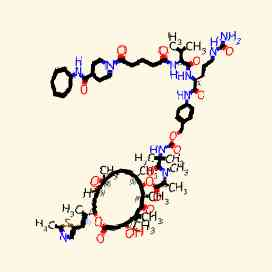 C/C(=C\c1cnc(C)s1)[C@@H]1C[C@@H]2O[C@]2(C)CCC[C@H](C)C(OC(=O)[C@H](C)N(C)C(=O)C(C)(C)NC(=O)OCc2ccc(NC(=O)[C@H](CCCNC(N)=O)NC(=O)[C@@H](NC(=O)CCCC(=O)N3CCC(C(=O)NC4CCCCCC4)CC3)C(C)C)cc2)[C@@H](C)C(=O)C(C)(C)[C@@H](O)CC(=O)O1